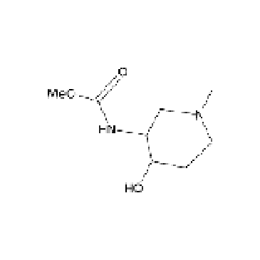 COC(=O)NC1CN(C)CCC1O